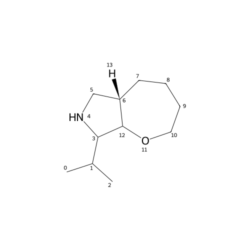 CC(C)C1NC[C@@H]2CCCCOC12